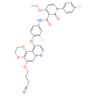 CCOc1ccn(-c2ccc(F)cc2)c(=O)c1C(=O)Nc1ccc(Oc2ccnc3cc(OCCCC#N)c4c(c23)OCCO4)c(F)c1